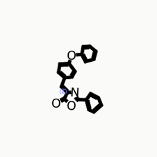 O=C1OC(c2ccccc2)=N/C1=C\c1ccc(Oc2ccccc2)cc1